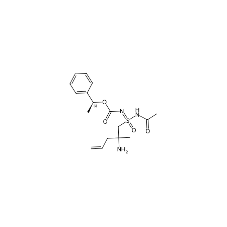 C=CCC(C)(N)CS(=O)(=NC(=O)O[C@@H](C)c1ccccc1)NC(C)=O